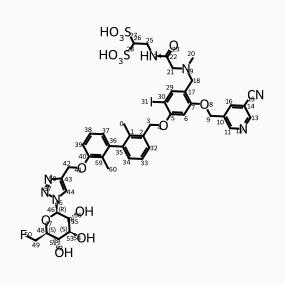 Cc1c(COc2cc(OCc3cncc(C#N)c3)c(CN(C)CC(=O)NCC(S(=O)(=O)O)S(=O)(=O)O)cc2I)cccc1-c1cccc(OCc2cn([C@@H]3O[C@H](CF)[C@@H](O)[C@H](O)[C@H]3O)nn2)c1C